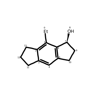 CCc1c2c(cc3c1[C@@H](O)CC3)CCC2